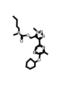 CCCCN(C)C(=O)OCc1c(-c2cnc(OC3CCCCC3)c(C)n2)nnn1C